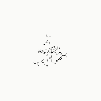 C=C(C)CSCC(CS)C1=CC(CCOC(=O)C(=C)C)(C(=O)O)C(CCOC(=O)C(=C)C)(C(=O)O)C=C1C(=O)O